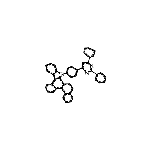 c1ccc(-c2cc(-c3ccc(-n4c5ccccc5c5c6ccccc6c6c7ccccc7ccc6c54)cc3)nc(-c3ccccc3)n2)cc1